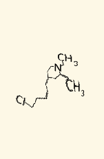 C/C=C1\C/C(=C\C=C/CCCl)CCN1CC